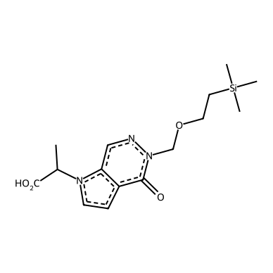 CC(C(=O)O)n1ccc2c(=O)n(COCC[Si](C)(C)C)ncc21